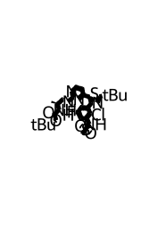 C[C@@H](CNc1nccc(-c2sc(C(C)(C)C)nc2-c2cc(F)cc(NS(C)(=O)=O)c2Cl)n1)NC(=O)OC(C)(C)C